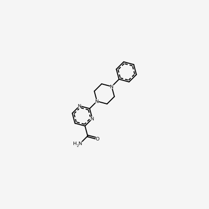 NC(=O)c1ccnc(N2CCN(c3ccccc3)CC2)n1